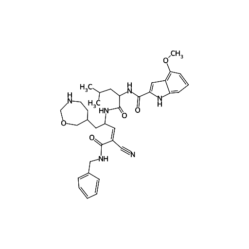 COc1cccc2[nH]c(C(=O)NC(CC(C)C)C(=O)NC(/C=C(/C#N)C(=O)NCc3ccccc3)CC3CCNCOC3)cc12